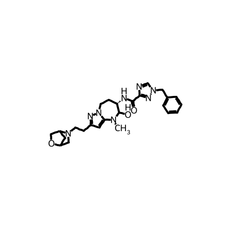 CN1c2cc(CCN3CC4CC3CO4)nn2CC[C@H](NC(=O)c2ncn(Cc3ccccc3)n2)C1O